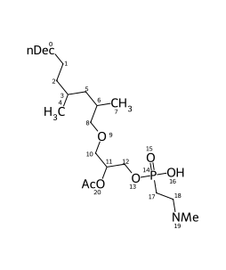 CCCCCCCCCCCCC(C)CC(C)COCC(COP(=O)(O)CCNC)OC(C)=O